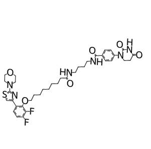 O=C(CCCCCCCCOc1c(-c2csc(N3CCOCC3)n2)ccc(F)c1F)NCCCCNC(=O)c1ccc(N2CCC(=O)NC2=O)cc1